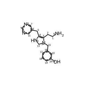 NCCC1=C(Cc2cncnc2)NCN1Cc1cccc(O)c1